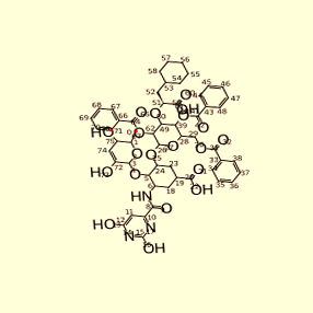 CC1OC(OC2C(NC(=O)c3cc(O)nc(O)n3)CC(C(=O)O)CC2OC2OC(COC(=O)c3ccccc3)C(OC(=O)c3ccccc3)C(O[C@@H](CC3CCCCC3)C(=O)O)C2OC(=O)c2ccccc2)C(O)=CC1O